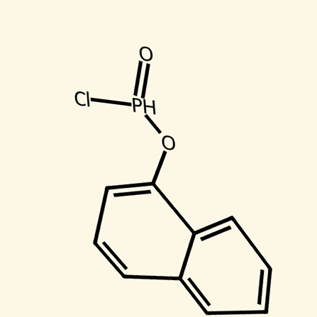 O=[PH](Cl)Oc1cccc2ccccc12